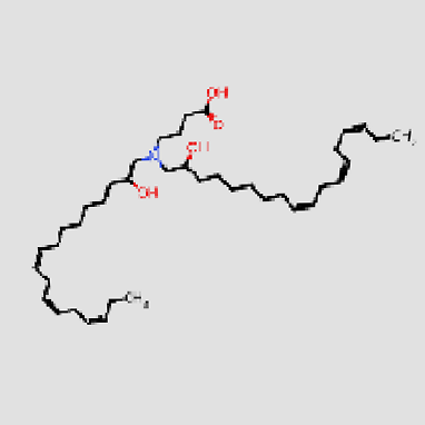 CC/C=C\C/C=C\C/C=C\CCCCCCC(O)CN(CCCC(=O)O)CC(O)CCCCCC/C=C\C/C=C\C/C=C\CC